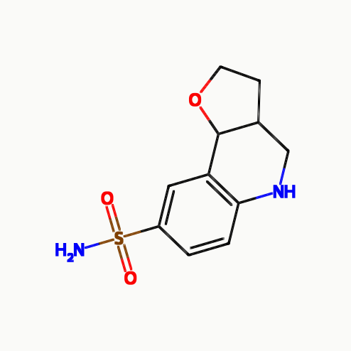 NS(=O)(=O)c1ccc2c(c1)C1OCCC1CN2